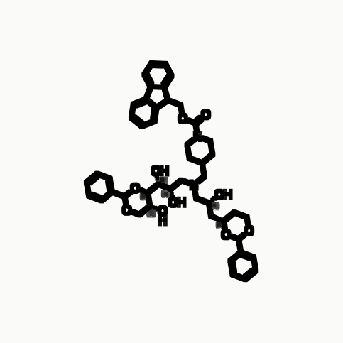 O=C(OCC1c2ccccc2-c2ccccc21)N1CCC(CN(C[C@H](O)C[C@H]2CCOC(c3ccccc3)O2)C[C@H](O)[C@@H](O)[C@@H]2OC(c3ccccc3)OC[C@H]2O)CC1